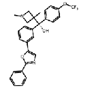 CN1CC(C)([C@@](O)(c2ccc(OC(F)(F)F)cc2)c2cccc(-c3cnc(-c4ccccc4)o3)c2)C1